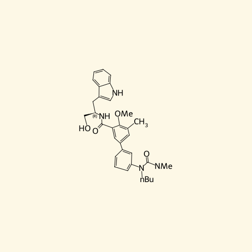 CCCCN(C(=O)NC)c1cccc(-c2cc(C)c(OC)c(C(=O)N[C@@H](CO)Cc3c[nH]c4ccccc34)c2)c1